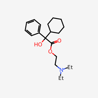 CCN(CC)CCOC(=O)C(O)(c1ccccc1)C1CCCCC1